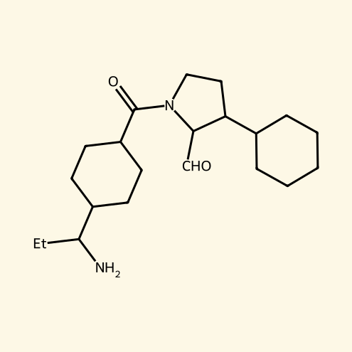 CCC(N)C1CCC(C(=O)N2CCC(C3CCCCC3)C2C=O)CC1